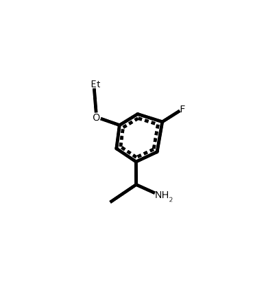 CCOc1cc(F)cc(C(C)N)c1